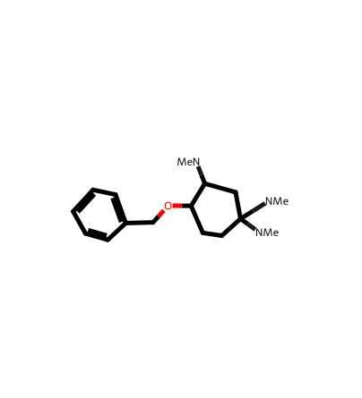 CNC1CC(NC)(NC)CCC1OCc1ccccc1